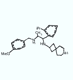 COc1ccc(CNC(C)C(NC2CC3(CCNCC3)C2)c2ccccc2C(C)C)cc1